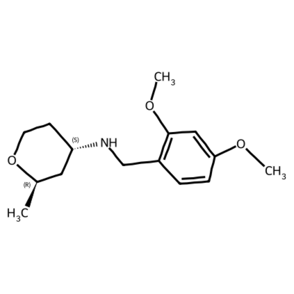 COc1ccc(CN[C@H]2CCO[C@H](C)C2)c(OC)c1